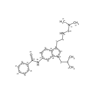 CC(C)Cn1cc(CCNSN(C)C)c2ccc(NC(=O)c3ccccc3)cc21